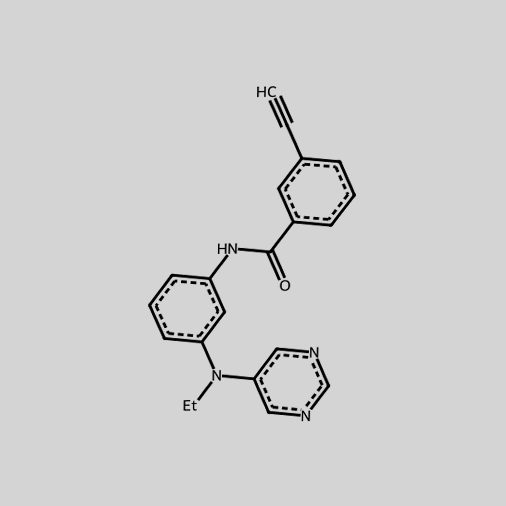 C#Cc1cccc(C(=O)Nc2cccc(N(CC)c3cncnc3)c2)c1